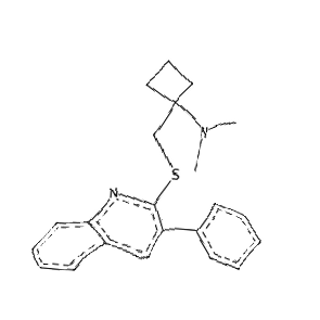 CN(C)C1(CSc2nc3ccccc3cc2-c2ccccc2)CCC1